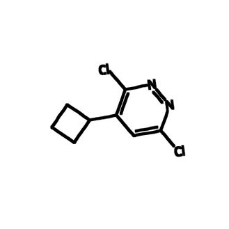 Clc1cc(C2CCC2)c(Cl)nn1